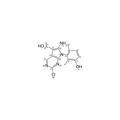 Cc1ccc(O)c(C)c1-n1c(N)c(C(=O)O)c2cnc(Cl)nc21